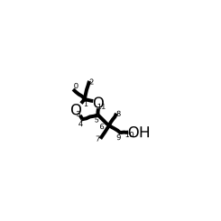 CC1(C)OCC(C(C)(C)CO)O1